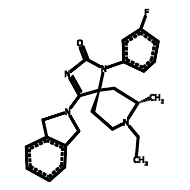 CCN1CC[C@@]2(C[C@@H]1C)C(N1Cc3ccccc3C1)=NC(=O)N2c1cccc(F)c1